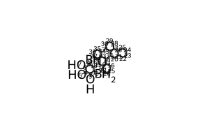 Bc1c(O)c(O)c(O)c(B)c1-c1c2ccccc2c(-c2cc3ccccc3c3ccccc23)c2ccccc12